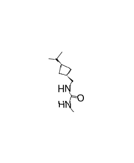 CNC(=O)NC[C@H]1C[C@@H](C(C)C)C1